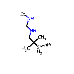 CCC[SiH2]C(C)(C)CNCNCC